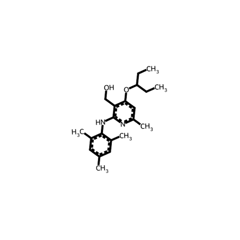 CCC(CC)Oc1cc(C)nc(Nc2c(C)cc(C)cc2C)c1CO